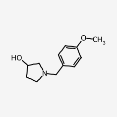 COc1ccc(CN2CCC(O)C2)cc1